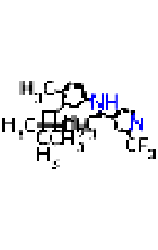 C=C(Nc1ccc(C)c(C2CC(C)(C)C2(C)C)c1)c1ccnc(C(F)(F)F)c1